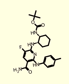 Cc1ccc(Nc2nc(N[C@@H]3CCCC[C@@H]3NC(=O)OC(C)(C)C)c(F)cc2C(N)=O)cc1